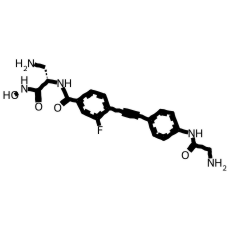 NCC(=O)Nc1ccc(C#Cc2ccc(C(=O)N[C@@H](CN)C(=O)NO)cc2F)cc1